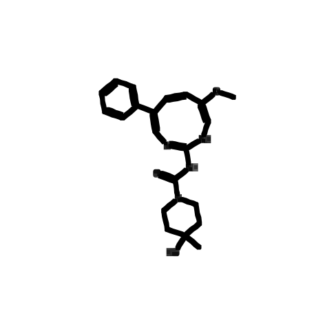 COc1ccc(-c2ccccc2)cnc(NC(=O)N2CCC(C)(O)CC2)[nH]c1